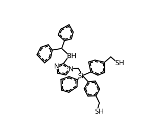 SCc1ccc([Si](Cn2ccnc2BC(c2ccccc2)c2ccccc2)(c2ccccc2)c2ccc(CS)cc2)cc1